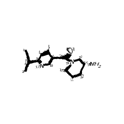 CC(C)c1ccc(C(=O)N2CCC[C@@H](N)C2)cn1